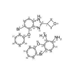 Brc1ccc2[nH]c(C3COC3)nc2c1Oc1ccccc1.Nc1ccc(Br)c(Oc2ccccc2)c1N